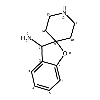 NC1c2ccccc2OC12CCNCC2